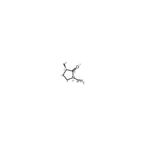 C[C@@H]1CCN(P)C1=O